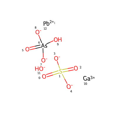 O=S(=O)([O-])[O-].O=[As]([O-])([O-])O.[Ga+3].[OH-].[Pb+2]